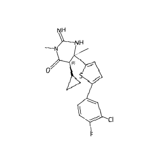 CN1C(=N)NC(C)(c2ccc(-c3ccc(F)c(Cl)c3)s2)[C@@H](C2CC2)C1=O